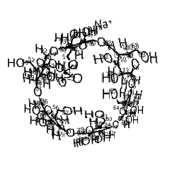 O=S(=O)([O-])OC[C@H]1O[C@@H]2O[C@H]3[C@H](O)[C@@H](O)[C@@H](O[C@H]4[C@H](O)[C@@H](O)[C@@H](O[C@H]5[C@H](O)[C@@H](O)[C@@H](O[C@H]6[C@H](O)[C@@H](O)[C@@H](O[C@H]7[C@H](O)[C@@H](O)[C@@H](O[C@H]1[C@H](O)[C@H]2O)O[C@@H]7CO)O[C@@H]6CO)O[C@@H]5CO)O[C@@H]4CO)O[C@@H]3CO.[Na+]